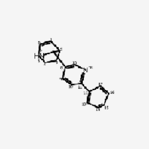 C1=CC2CCC1NC2c1ccc(-c2ccccc2)nc1